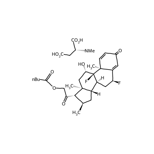 CCCCC(=O)OCC(=O)[C@H]1[C@H](C)C[C@H]2[C@@H]3C[C@H](F)C4=CC(=O)C=C[C@]4(C)[C@@]3(F)[C@@H](O)C[C@@]21C.CN[C@H](CC(=O)O)C(=O)O